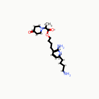 CC(C(=O)OCCCCc1ccc(CCCCN)nc1N)N1CCC(=O)CC1